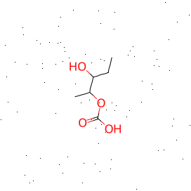 CCC(O)C(C)OC(=O)O